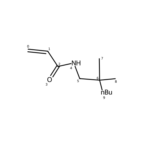 C=CC(=O)NCC(C)(C)CCCC